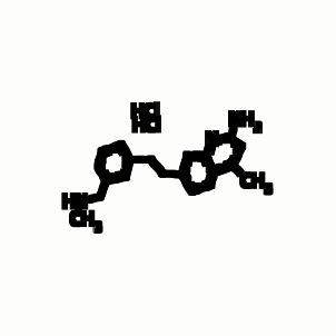 CNCc1cccc(CCc2ccc3c(C)cc(N)nc3c2)c1.Cl.Cl